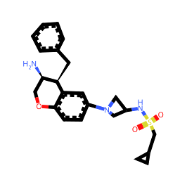 N[C@@H]1COc2ccc(N3CC(NS(=O)(=O)CC4CC4)C3)cc2[C@@H]1Cc1ccccc1